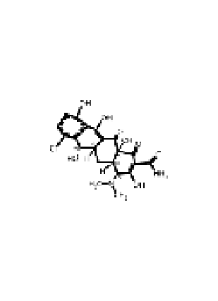 CN(C)[C@@H]1C(O)=C(C(N)=O)C(=O)[C@@]2(O)C(=O)C3=C(O)c4c(O)ccc(Cl)c4[C@@H](O)[C@H]3C[C@@H]12